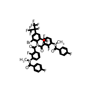 CN(C(=O)c1ccc(F)cc1)c1cccc(C(=O)N(C(=O)c2cccc(N(C)C(=O)c3ccc(F)cc3)c2F)c2c(Br)cc(C(F)(C(F)(F)F)C(F)(F)F)cc2C(F)(F)F)c1F